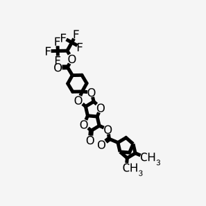 CC1C2CC(C(=O)OC3C(=O)OC4C5OC6(CCC(C(=O)OC(C(F)(F)F)C(F)(F)F)CC6)OC5OC34)C(C2)C1C